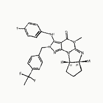 CN1C(=O)c2c(nn(Cc3ccc(C(C)(F)F)cc3)c2Nc2ccc(F)cc2)N2C1=N[C@@H]1CCC[C@@H]12